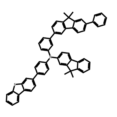 CC1(C)c2ccc(-c3cccc(N(c4ccc(-c5ccc6c(c5)sc5ccccc56)cc4)c4ccc5c(c4)C(C)(C)c4ccccc4-5)c3)cc2-c2ccc(-c3ccccc3)cc21